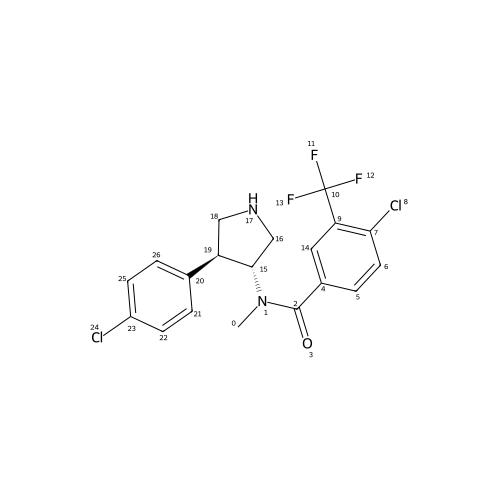 CN(C(=O)c1ccc(Cl)c(C(F)(F)F)c1)[C@H]1CNC[C@@H]1c1ccc(Cl)cc1